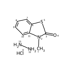 Cl.Cn1c(=O)sc2ccccc21.NN